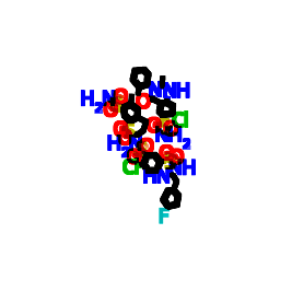 Cc1cc2c(cc1S(N)(=O)=O)S(=O)(=O)CCC2.Cc1ccccc1N1C(=O)c2cc(S(N)(=O)=O)c(Cl)cc2NC1C.NS(=O)(=O)c1cc2c(cc1Cl)NC(Cc1ccc(F)cc1)NS2(=O)=O